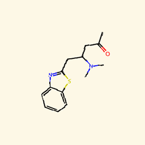 CC(=O)CC(Cc1nc2ccccc2s1)N(C)C